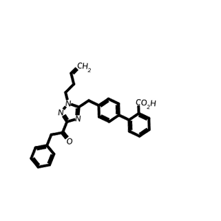 C=CCCn1nc(C(=O)Cc2ccccc2)nc1Cc1ccc(-c2ccccc2C(=O)O)cc1